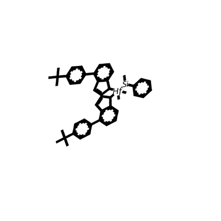 C[Si](c1ccccc1)=[Hf]([CH3])([CH3])([CH]1C=Cc2c(-c3ccc(C(C)(C)C)cc3)cccc21)[CH]1C=Cc2c(-c3ccc(C(C)(C)C)cc3)cccc21